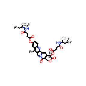 CCc1c2c(nc3ccc(OC(=O)CCC(=O)NC(CC(C)C)C(=O)O)cc13)-c1cc3c(c(=O)n1C2)COC(=O)[C@@]3(CC)OC(=O)CCC(=O)NC(CC(C)C)C(=O)O